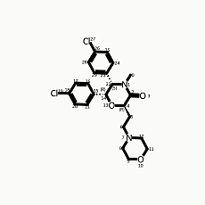 CN1C(=O)[C@@H](CCN2CCOCC2)O[C@H](c2ccc(Cl)cc2)[C@@H]1c1ccc(Cl)cc1